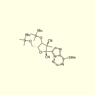 CSc1ncnn2c([C@]3(C#N)O[C@H](CO[Si](C)(C)C(C)(C)C)C(O[Si](C)(C)C(C)(C)C)[C@@]3(C)C#N)cnc12